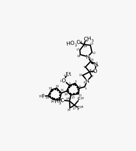 CCOc1cc(CN2CC3(CC(N4CCC(C)(C(=O)O)CC4)=NO3)C2)cc(C2(C)CC2(F)F)c1-c1ccc(F)cc1